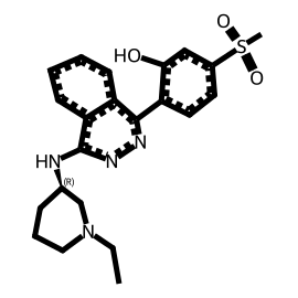 CCN1CCC[C@@H](Nc2nnc(-c3ccc(S(C)(=O)=O)cc3O)c3ccccc23)C1